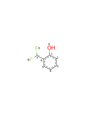 Oc1ccccc1[C](F)F